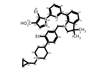 CCc1cc(CN2CC(C)(C)c3cccc(-c4cccc(-n5ncc(C(=O)O)c5CC)n4)c32)ccc1C1CCN(CC2CC2)CC1